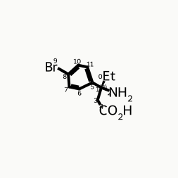 CC[C@@](N)(CC(=O)O)c1ccc(Br)cc1